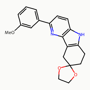 COc1cccc(-c2ccc3[nH]c4c(c3n2)CC2(CC4)OCCO2)c1